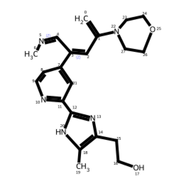 C=C(/C=C(\C=N/C)c1ccnc(-c2nc(CCO)c(C)[nH]2)c1)N1CCOCC1